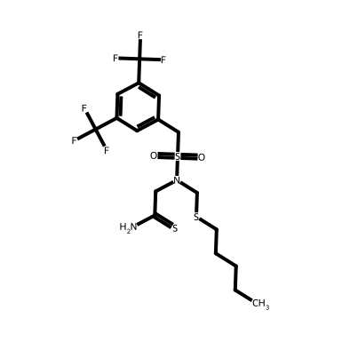 CCCCCSCN(CC(N)=S)S(=O)(=O)Cc1cc(C(F)(F)F)cc(C(F)(F)F)c1